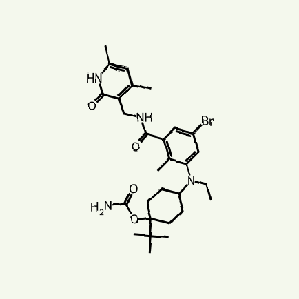 CCN(c1cc(Br)cc(C(=O)NCc2c(C)cc(C)[nH]c2=O)c1C)C1CCC(OC(N)=O)(C(C)(C)C)CC1